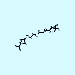 CC(C)N1CC(OCCOCCOCCC(C)(C)C)C1